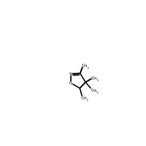 CC1=NOC(C)C1(C)C